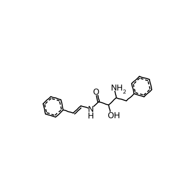 NC(Cc1ccccc1)C(O)C(=O)NC=Cc1ccccc1